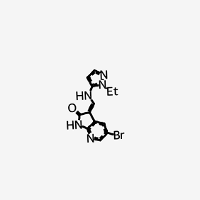 CCn1nccc1NC=C1C(=O)Nc2ncc(Br)cc21